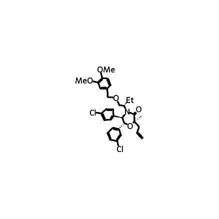 C=CC[C@@]1(C)O[C@H](c2cccc(Cl)c2)[C@@H](c2ccc(Cl)cc2)N([C@@H](CC)COCc2ccc(OC)c(OC)c2)C1=O